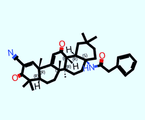 CC1(C)CC[C@]2(NC(=O)Cc3ccccc3)CC[C@]3(C)[C@H](C(=O)C=C4[C@@]5(C)C=C(C#N)C(=O)C(C)(C)[C@@H]5CC[C@]43C)[C@H]2C1